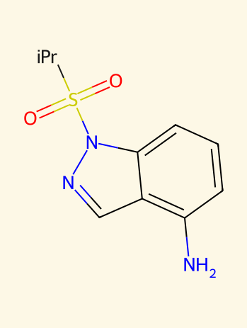 CC(C)S(=O)(=O)n1ncc2c(N)cccc21